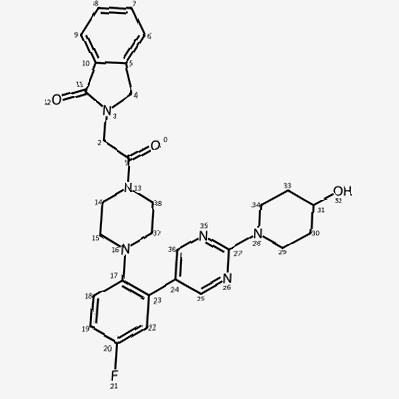 O=C(CN1Cc2ccccc2C1=O)N1CCN(c2ccc(F)cc2-c2cnc(N3CCC(O)CC3)nc2)CC1